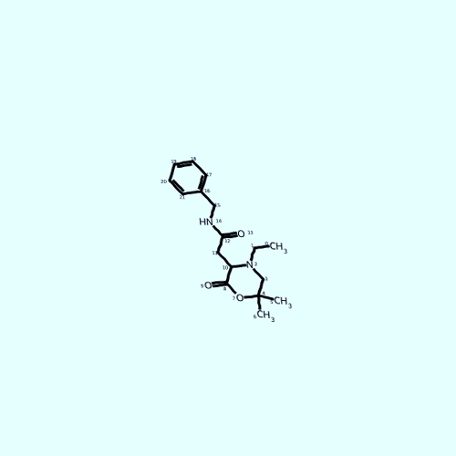 CCN1CC(C)(C)OC(=O)C1CC(=O)NCc1ccccc1